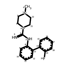 CN1CCN(C(=N)Nc2ccccc2-c2ccccc2F)CC1